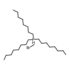 CCCCCCCC[PH](CBr)(CCCCCCCC)CCCCCCCC